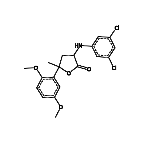 COc1ccc(OC)c(C2(C)CC(Nc3cc(Cl)cc(Cl)c3)C(=O)O2)c1